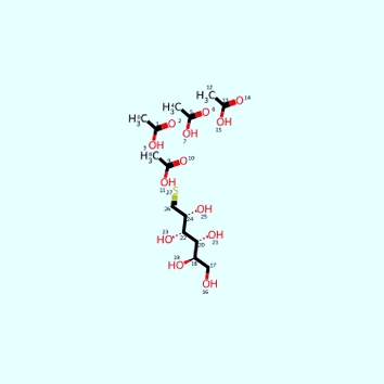 CC(=O)O.CC(=O)O.CC(=O)O.CC(=O)O.OC[C@@H](O)[C@@H](O)[C@H](O)[C@@H](O)C=S